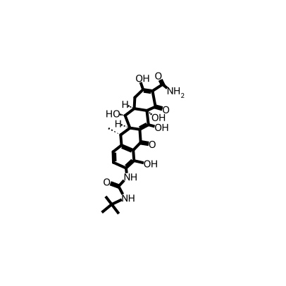 C[C@H]1c2ccc(NC(=O)NC(C)(C)C)c(O)c2C(=O)C2=C(O)[C@]3(O)C(=O)C(C(N)=O)=C(O)C[C@@H]3[C@@H](O)[C@@H]21